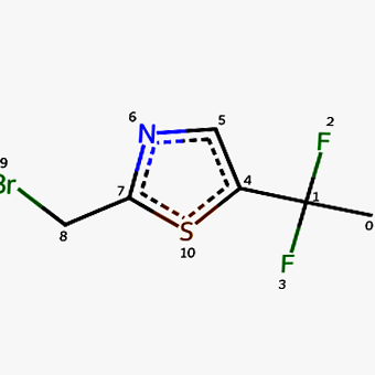 CC(F)(F)c1cnc(CBr)s1